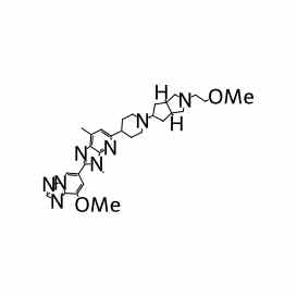 COCCN1C[C@H]2C[C@H](N3CCC(c4cc(C)c5nc(-c6cc(OC)c7ncnn7c6)n(C)c5n4)CC3)C[C@H]2C1